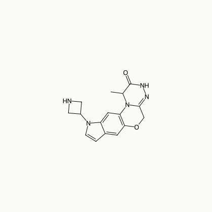 CC1C(=O)NN=C2COc3cc4ccn(C5CNC5)c4cc3N21